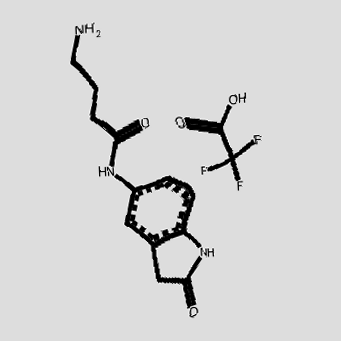 NCCCC(=O)Nc1ccc2c(c1)CC(=O)N2.O=C(O)C(F)(F)F